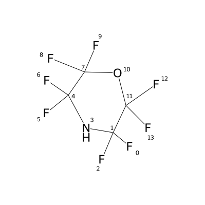 FC1(F)NC(F)(F)C(F)(F)OC1(F)F